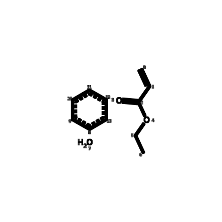 C=CC(=O)OCC.O.c1ccccc1